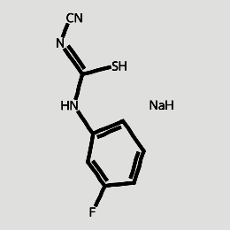 N#CN=C(S)Nc1cccc(F)c1.[NaH]